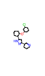 Clc1cccc(Oc2ccccc2-c2cc(-c3cccnc3)n[nH]2)c1